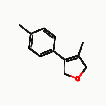 CC1=C(c2ccc(C)cc2)COC1